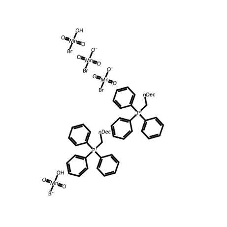 CCCCCCCCCCC[P+](c1ccccc1)(c1ccccc1)c1ccccc1.CCCCCCCCCCC[P+](c1ccccc1)(c1ccccc1)c1ccccc1.[O]=[Mn](=[O])([O-])[Br].[O]=[Mn](=[O])([O-])[Br].[O]=[Mn](=[O])([OH])[Br].[O]=[Mn](=[O])([OH])[Br]